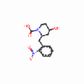 O=C(O)N1CCC(O)CC1Cc1ccccc1[N+](=O)[O-]